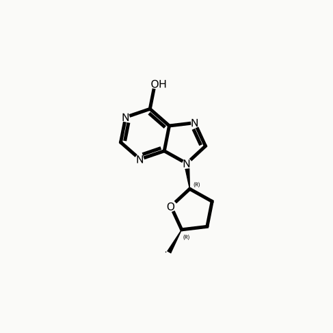 [CH2][C@@H]1CC[C@H](n2cnc3c(O)ncnc32)O1